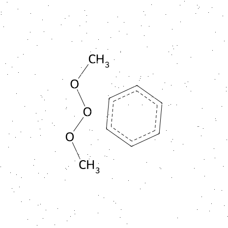 COOOC.c1ccccc1